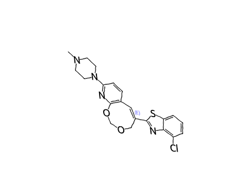 CN1CCN(c2ccc3c(n2)OCOC/C(c2nc4c(Cl)cccc4s2)=C\3)CC1